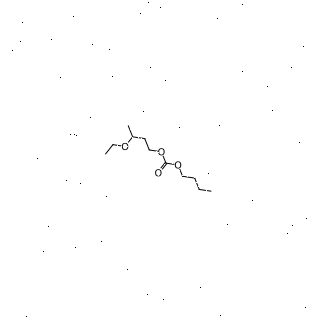 CCCCOC(=O)OCCC(C)OCC